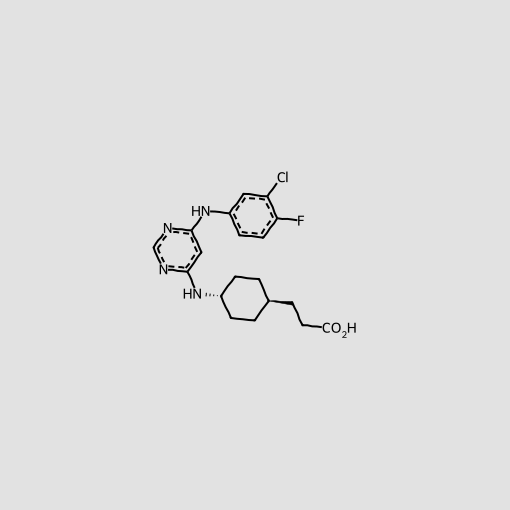 O=C(O)CC[C@H]1CC[C@H](Nc2cc(Nc3ccc(F)c(Cl)c3)ncn2)CC1